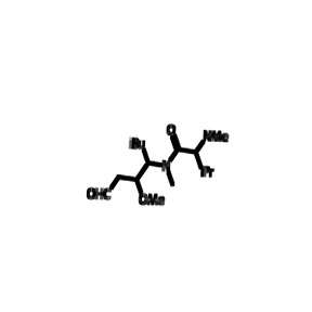 CCC(C)C(C(CC=O)OC)N(C)C(=O)C(NC)C(C)C